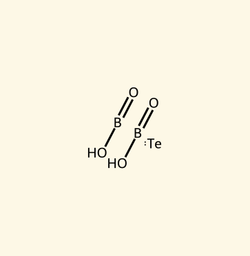 O=BO.O=BO.[Te]